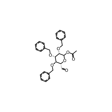 CC(=O)OC1O[C@H](C=O)[C@@H](OCc2ccccc2)[C@H](OCc2ccccc2)[C@@H]1OCc1ccccc1